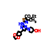 CCOC(=O)c1sc(Nc2nc(C3=CCC4(CC3)OCCO4)cc(N3CCC(O)CC3)n2)nc1C